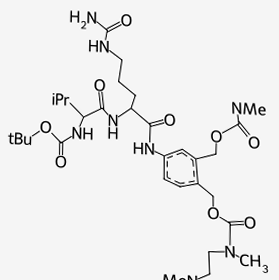 CNCCN(C)C(=O)OCc1ccc(NC(=O)C(CCCNC(N)=O)NC(=O)C(NC(=O)OC(C)(C)C)C(C)C)cc1COC(=O)NC